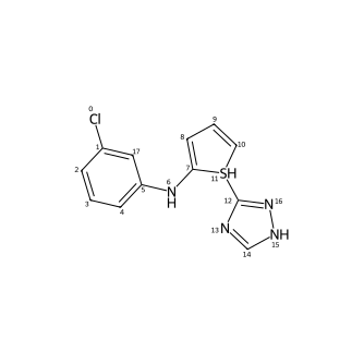 Clc1cccc(NC2=CC=C[SH]2c2nc[nH]n2)c1